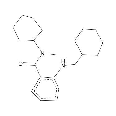 CN(C(=O)c1ccccc1NCC1CCCCC1)C1CCCCC1